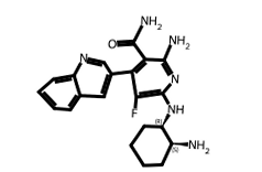 NC(=O)c1c(N)nc(N[C@@H]2CCCC[C@@H]2N)c(F)c1-c1cnc2ccccc2c1